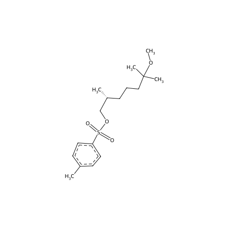 COC(C)(C)CCC[C@@H](C)COS(=O)(=O)c1ccc(C)cc1